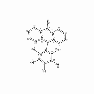 [2H]c1c([2H])c([2H])c(-c2c3ccccc3c(Br)c3ccccc23)c([2H])c1[2H]